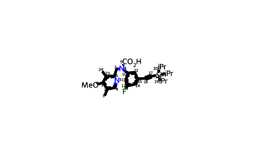 COc1c(C)cnc(CN(C(=O)O)c2cc(F)cc(C#C[Si](C(C)C)(C(C)C)C(C)C)c2)c1C